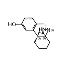 Oc1ccc2c(c1)[C@@]13CCCC[C@H]1[N@@](C2)NCC3